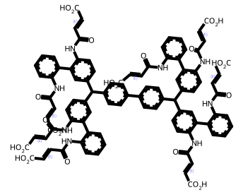 O=C(O)/C=C/C(=O)Nc1ccccc1-c1cc(C(c2ccc(-c3ccc(C(c4ccc(NC(=O)/C=C/C(=O)O)c(-c5ccccc5NC(=O)/C=C/C(=O)O)c4)c4ccc(NC(=O)/C=C/C(=O)O)c(-c5ccccc5NC(=O)/C=C/C(=O)O)c4)cc3)cc2)c2ccc(NC(=O)/C=C/C(=O)O)c(-c3ccccc3NC(=O)/C=C/C(=O)O)c2)ccc1NC(=O)/C=C/C(=O)O